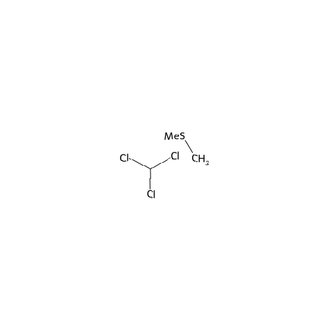 CSC.ClC(Cl)Cl